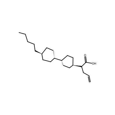 C=CCC(C(=O)O)[C@H]1CC[C@H]([C@H]2CC[C@H](CCCCC)CC2)CC1